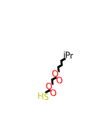 CC(C)CCCCCOC(=O)CCOC(=O)CS